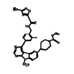 Cc1cc(-c2ncnc3c2c2cc(C4CCN(C(=O)OC(C)(C)C)CC4)ccc2n3C(=O)O)ccc1CNC(=O)c1nc(C(C)(C)C)no1